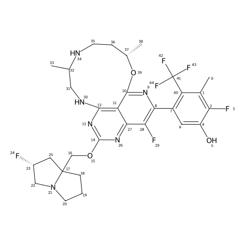 Cc1c(F)c(O)cc(-c2nc3c4c(nc(OCC56CCCN5C[C@H](F)C6)nc4c2F)NCC(C)NCC[C@H](C)O3)c1C(F)(F)F